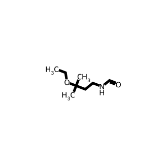 CCOC(C)(C)CCNC=O